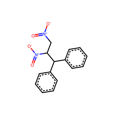 O=[N+]([O-])CC(C(c1ccccc1)c1ccccc1)[N+](=O)[O-]